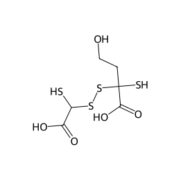 O=C(O)C(S)SSC(S)(CCO)C(=O)O